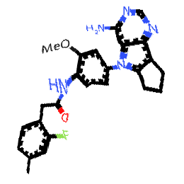 COc1cc(-n2c3c(c4ncnc(N)c42)CCC3)ccc1NC(=O)Cc1ccc(C)cc1F